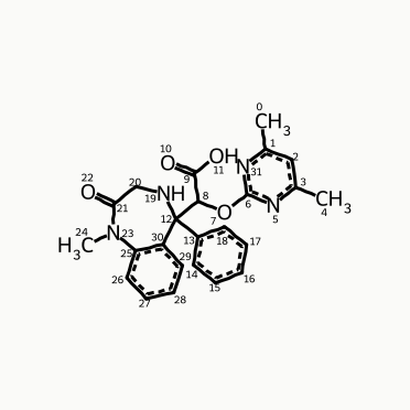 Cc1cc(C)nc(OC(C(=O)O)C2(c3ccccc3)NCC(=O)N(C)c3ccccc32)n1